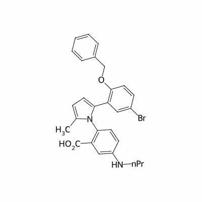 CCCNc1ccc(-n2c(C)ccc2-c2cc(Br)ccc2OCc2ccccc2)c(C(=O)O)c1